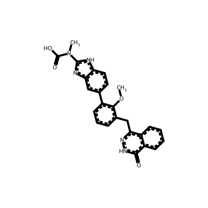 COc1c(Cc2n[nH]c(=O)c3ccccc23)cccc1-c1ccc2[nH]c(N(C)C(=O)O)nc2c1